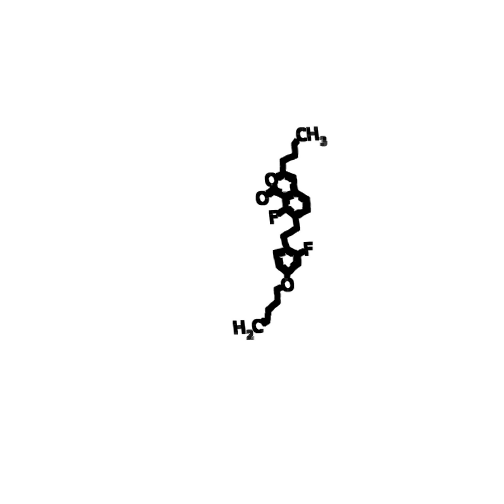 C=CCCCOc1ccc(CCc2ccc3cc(CCCC)oc(=O)c3c2F)c(F)c1